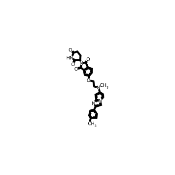 Cc1ccc(-c2cn3ccc(N(C)CCOc4ccc5c(c4)C(=O)N(C4CCC(=O)NC4=O)C5=O)cc3n2)cc1